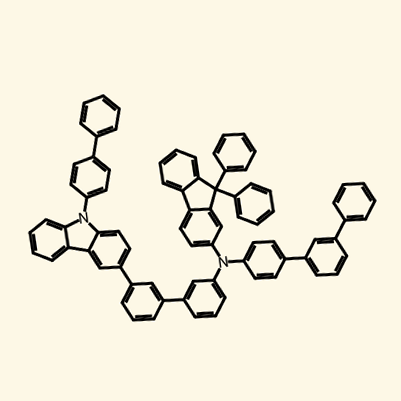 c1ccc(-c2ccc(-n3c4ccccc4c4cc(-c5cccc(-c6cccc(N(c7ccc(-c8cccc(-c9ccccc9)c8)cc7)c7ccc8c(c7)C(c7ccccc7)(c7ccccc7)c7ccccc7-8)c6)c5)ccc43)cc2)cc1